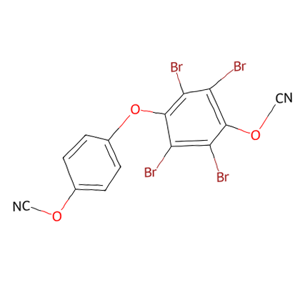 N#COc1ccc(Oc2c(Br)c(Br)c(OC#N)c(Br)c2Br)cc1